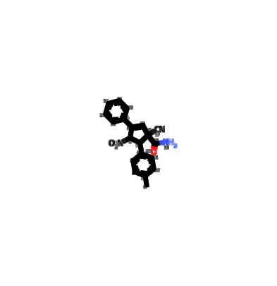 Cc1ccc(C2C([N+](=O)[O-])C(c3ccccc3)=CC2(C#N)C(N)=O)cc1